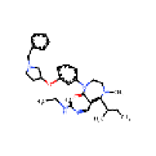 C=C(/N=C\C1=C(C(C)CC)N(C)CCN(c2cccc(OC3CCN(Cc4ccccc4)C3)c2)C1=O)NCC